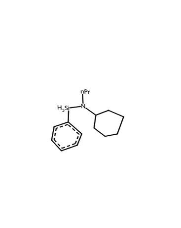 CCCN([SiH2]c1ccccc1)C1CCCCC1